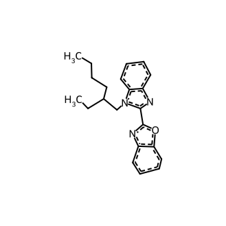 CCCCC(CC)Cn1c(-c2nc3ccccc3o2)nc2ccccc21